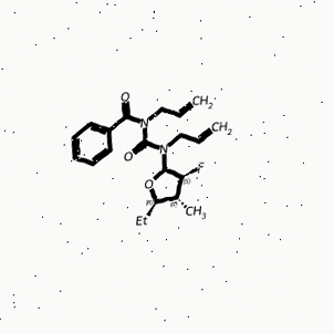 C=CCN(C(=O)c1ccccc1)C(=O)N(CC=C)C1O[C@H](CC)[C@@H](C)[C@@H]1F